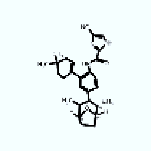 CC1C(c2ccc(NC(=O)c3nc(C#N)c[nH]3)c(C3=CCC(C)(C)CC3)c2)[C@H](C)[C@@H]2CC[C@H]1O2